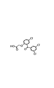 O=C(O)COc1ccc(Cl)cc1C(=O)c1cc(Cl)cc(Cl)c1